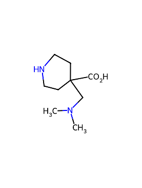 CN(C)CC1(C(=O)O)CCNCC1